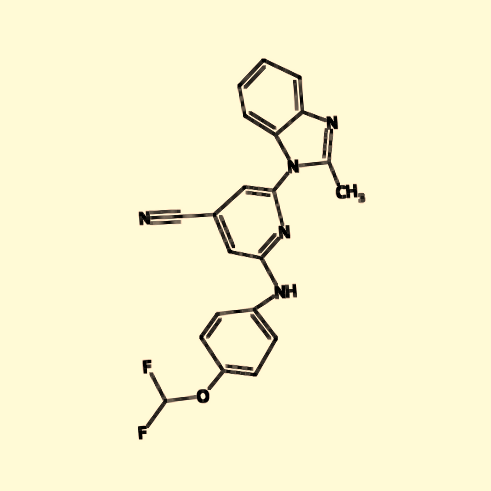 Cc1nc2ccccc2n1-c1cc(C#N)cc(Nc2ccc(OC(F)F)cc2)n1